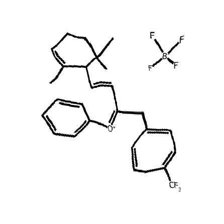 CC1=CCCC(C)(C)C1C=CC(Cc1ccc(C(F)(F)F)cc1)=[O+]c1ccccc1.F[B-](F)(F)F